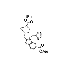 COC(=O)c1ccc2nc(CC3CCN(C(=O)OC(C)(C)C)C4CC34)n(Cc3cncs3)c2c1